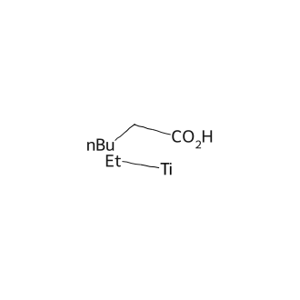 CCCCCC(=O)O.C[CH2][Ti]